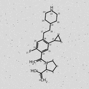 C=C(O)C1CCCN1C(=C)c1cc(C2CC2)c(CCC2CCNCC2)cc1F